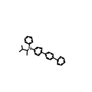 CC(C)C(C)N(c1ccccc1)c1ccc(-c2ccc(-c3ccccc3)cc2)cc1